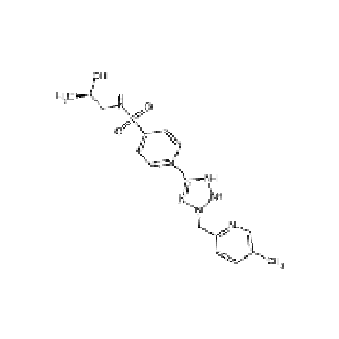 Cc1ccc(CN2N=C(c3ccc(S(=O)(=O)NC[C@@H](C)O)cc3)NN2)nc1